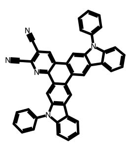 N#Cc1cc2c3cc4c(cc3c3cc5c6ccccc6n(-c6ccccc6)c5cc3c2nc1C#N)c1ccccc1n4-c1ccccc1